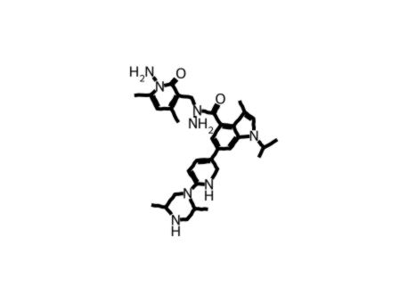 Cc1cc(C)n(N)c(=O)c1CN(N)C(=O)c1cc(C2=CC=C(N3CC(C)NCC3C)NC2)cc2c1c(C)cn2C(C)C